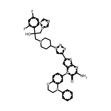 Nc1nc2sc(-c3cn(C4CCN(CC(O)(Cn5cncn5)c5ccc(F)cc5F)CC4)nn3)cc2n(-c2ccc3c(c2)N(c2ccccc2)CCO3)c1=O